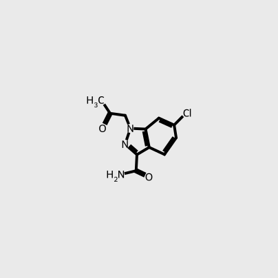 CC(=O)Cn1nc(C(N)=O)c2ccc(Cl)cc21